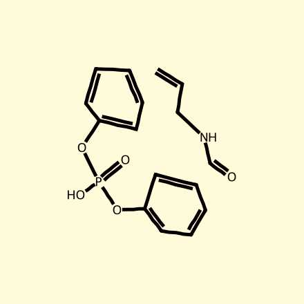 C=CCNC=O.O=P(O)(Oc1ccccc1)Oc1ccccc1